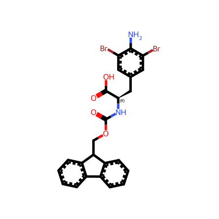 Nc1c(Br)cc(C[C@@H](NC(=O)OCC2c3ccccc3-c3ccccc32)C(=O)O)cc1Br